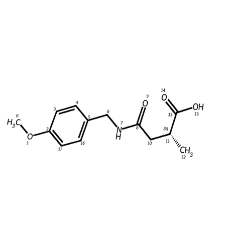 COc1ccc(CNC(=O)C[C@@H](C)C(=O)O)cc1